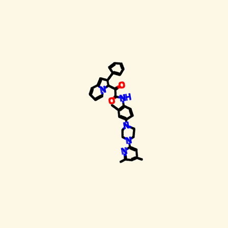 Cc1cc(C)nc(N2CCN(c3ccc(NC(=O)C(=O)C4C(c5ccccc5)C=C5C=CC=CN54)c(C)c3)CC2)c1